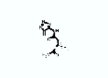 C[C@@H]([CH]C(=O)Nc1nnn[nH]1)CC(N)=O